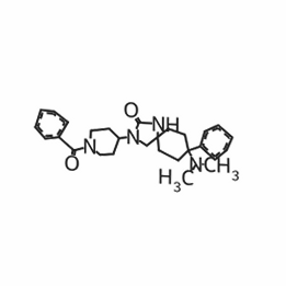 CN(C)C1(c2ccccc2)CCC2(CC1)CN(C1CCN(C(=O)c3ccccc3)CC1)C(=O)N2